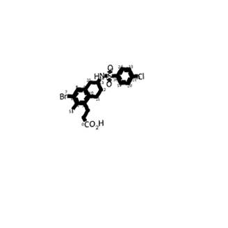 O=C(O)CCc1c(I)c(Br)cc2c1CCC(NS(=O)(=O)c1ccc(Cl)cc1)C2